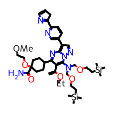 C=C(OCC)c1c(C2CCC(OCCOC)(C(N)=O)CC2)nc2c(-c3ccc(C4=NC=CC4)nc3)cnn2c1N(COCC[Si](C)(C)C)COCC[Si](C)(C)C